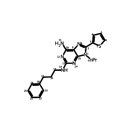 CCCn1c(-c2cccs2)nc2c(N)nc(NCCCc3ccccc3)nc21